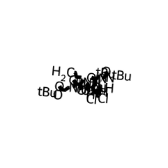 C=CCC[C@H](NC(=O)[C@@H]1[C@@H]2[C@H](CN1C(=O)[C@@H](NC(=O)NC(C)(C)C)C(C)(C)C)C2(Cl)Cl)C(=O)C(=O)NCCC(=O)OC(C)(C)C